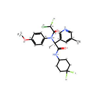 C[C@@](C(=O)NC1CCC(F)(F)CC1)(c1cncc(C#N)c1)N(C(=O)[C@H](F)Cl)c1ccc(OC(F)(F)F)cc1